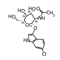 CC(=O)N[C@H]1[C@H](Oc2c[nH]c3cc(Cl)ccc23)O[C@H](CO)[C@@H](O)[C@@H]1O